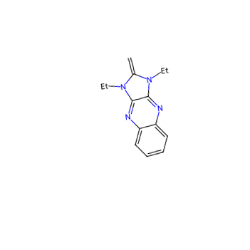 C=C1N(CC)c2nc3ccccc3nc2N1CC